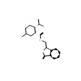 CC1CC[C@@H](C(C)C)[C@H](C(=O)NCC2OC(=O)c3ccccc32)C1